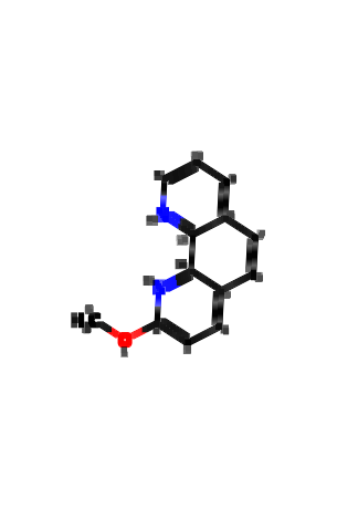 COc1ccc2[c]cc3cccnc3c2n1